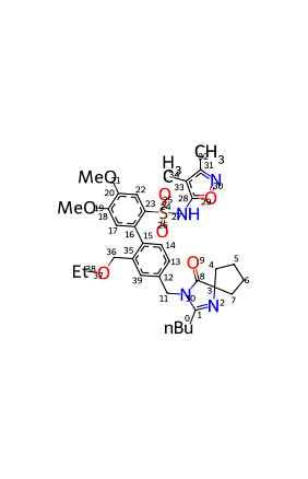 CCCCC1=NC2(CCCC2)C(=O)N1Cc1ccc(-c2cc(OC)c(OC)cc2S(=O)(=O)Nc2onc(C)c2C)c(COCC)c1